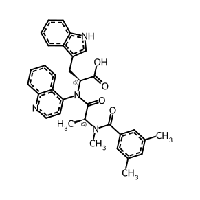 Cc1cc(C)cc(C(=O)N(C)[C@@H](C)C(=O)N(c2ccnc3ccccc23)[C@@H](Cc2c[nH]c3ccccc23)C(=O)O)c1